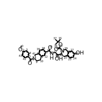 COc1ccc(C(=O)N2CCc3cc(C(=O)NC[C@@H](O)[C@@H]4Cc5ccc(O)cc5CN4C(=O)OC(C)(C)C)ccc3C2)cc1